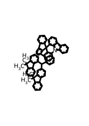 CC1(C)c2ccccc2-c2ccc(C(c3ccccc3-c3cccc4c3C3(c5ccccc5-4)c4ccccc4-n4c5ccccc5c5cccc3c54)c3cccc4c3-c3ccccc3C4(C)C)cc21